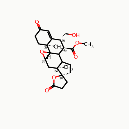 COC(=O)[C@H]1C2C3CC[C@@]4(CCC(=O)O4)[C@@]3(C)C[C@H]3OC23[C@@]2(C)CCC(=O)C=C2[C@@H]1CO